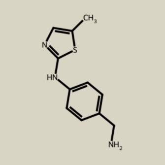 Cc1cnc(Nc2ccc(CN)cc2)s1